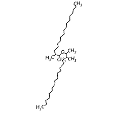 CCCCCCCCCCCCCCCC(C)C(C)OC(C)C(C)CCCCCCCCCCCCCCC